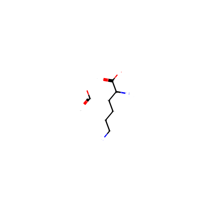 NCCCCC(N)C(=O)O.O=CO